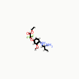 CCOC(=O)C(F)(F)Oc1ccc(NC[C@@H](N)CC)c(OC)c1